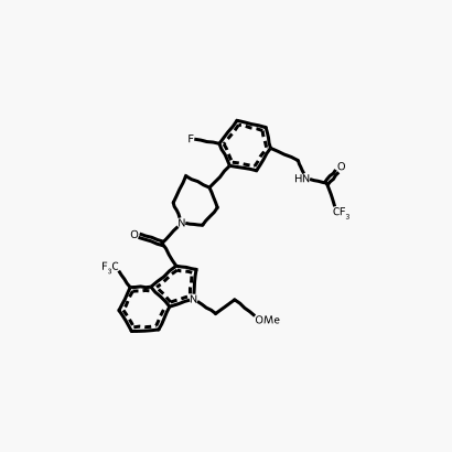 COCCn1cc(C(=O)N2CCC(c3cc(CNC(=O)C(F)(F)F)ccc3F)CC2)c2c(C(F)(F)F)cccc21